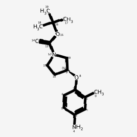 Cc1cc(N)ccc1O[C@H]1CCN(C(=O)OC(C)(C)C)C1